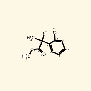 COC(=O)C(C)(F)c1ccccc1Cl